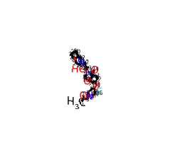 CC(O)CN1CC[C@@H](Oc2ccc3c(c2)OCCN(C[C@H](O)CN2CCc4ccccc4C2)C3=O)[C@H](F)C1